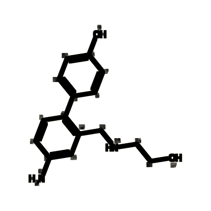 Nc1ccc(-c2ccc(O)cc2)c(CNCCO)c1